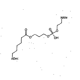 CCCCCCCCCCCCCCCC(=O)OCCCOP(=O)(O)OCCNC